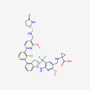 COc1nc(-c2cccc(-c3cccc4c3CC[C@@H]4Nc3nc(OC)c(CNC4(C(=O)O)CC4)cc3C(F)(F)F)c2Cl)ccc1CNC[C@@H]1CCC(=O)N1